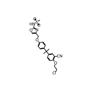 CC(C)(c1ccc(OCc2coc(NS(C)(=O)=O)n2)cc1)c1ccc(OCCCl)c(C#N)c1